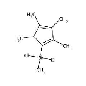 CC1=C(C)C(C)C([Si](C)(Cl)Cl)=C1C